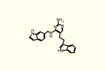 Nc1ncc(CCc2c[nH]c3ccccc23)c(NCc2ccc3cc[nH]c3c2)n1